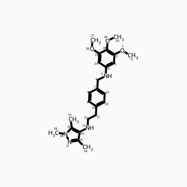 COc1cc(NCc2ccc(CCNc3c(C)nn(C)c3C)cc2)cc(OC)c1OC